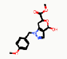 COC(=O)C1Cc2c(cnn2Cc2ccc(OC)cc2)C(O)O1